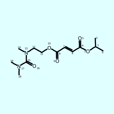 CC(C)OC(=O)/C=C/C(=O)OCCN(C)C(=O)N(C)C